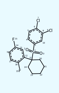 O=S(=O)(c1ccc(Cl)c(Cl)c1)C1(c2cc(F)ccc2F)CCCCC1